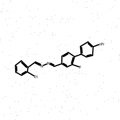 CCCc1ccc(-c2ccc(C=NN=Cc3ccccc3CC)cc2F)cc1